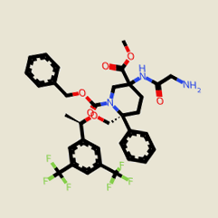 COC(=O)C1(NC(=O)CN)CC[C@@](CO[C@H](C)c2cc(C(F)(F)F)cc(C(F)(F)F)c2)(c2ccccc2)N(C(=O)OCc2ccccc2)C1